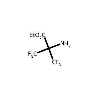 CCOC(=O)C(N)(C(F)(F)F)C(F)(F)F